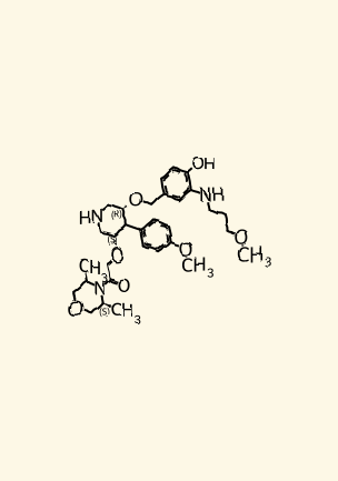 COCCCNc1cc(CO[C@H]2CNC[C@@H](OCC(=O)N3C(C)COC[C@@H]3C)C2c2ccc(OC)cc2)ccc1O